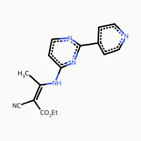 CCOC(=O)/C(C#N)=C(/C)Nc1ccnc(-c2ccncc2)n1